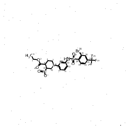 CCOC(=O)C1CCN(c2cccc(NS(=O)(=O)c3ccc(C(F)(F)F)cc3Br)n2)CC1[N+](=O)[O-]